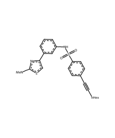 CCCCCCC#Cc1ccc(S(=O)(=O)Nc2cccc(-c3csc(NC)n3)c2)cc1